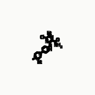 CCc1nc(C(N)=O)c(Nc2ccc(N3CCN(C)[C@@H](CC)C3)cc2)nc1Cl